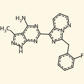 Cc1n[nH]c2nc(-c3nc(Cc4ccccc4F)n4ncccc34)nc(N)c12